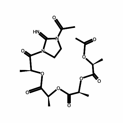 CC(=O)O[C@@H](C)C(=O)O[C@@H](C)C(=O)O[C@@H](C)C(=O)O[C@@H](C)C(=O)N1CCN(C(C)=O)C1=N